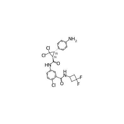 Nc1ccc([C@@H]2[C@@H](C(=O)Nc3ccc(Cl)c(C(=O)NC4CC(F)(F)C4)c3)C2(Cl)Cl)cc1